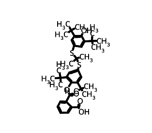 CC(C)(Sc1cc(C(C)(C)C)c(O)c(C(C)(C)C)c1)Sc1cc(C(C)(C)C)c(OC(=O)c2ccccc2C(=O)O)c(C(C)(C)C)c1